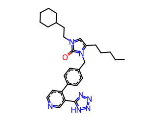 CCCCCc1cn(CCC2CCCCC2)c(=O)n1Cc1ccc(-c2ccncc2-c2nnn[nH]2)cc1